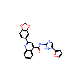 O=C(Nc1ncc(-c2ccco2)[nH]1)c1cc(-c2ccc3c(c2)OCO3)nc2ccccc12